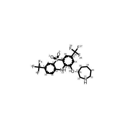 O=S1(=O)c2cc(C(F)(F)F)ccc2Nc2c(O[C@@H]3CCCCNC3)cc(C(F)(F)F)cc21